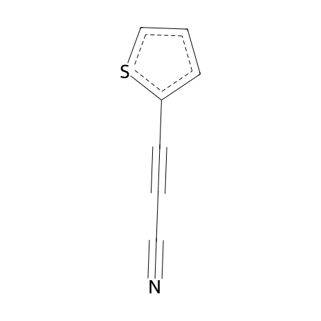 N#CC#Cc1cccs1